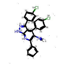 [C-]#[N+]c1c(-c2ccccc2)nc2[nH]nc(-c3ccc(Cl)cc3)c2c1-c1ccc(Cl)cc1